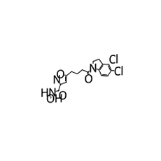 O=C(NO)c1cc(CCCC(=O)N2CCc3c2ccc(Cl)c3Cl)on1